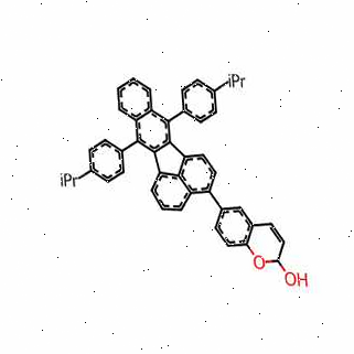 CC(C)c1ccc(-c2c3c(c(-c4ccc(C(C)C)cc4)c4ccccc24)-c2ccc(-c4ccc5c(c4)C=CC(O)O5)c4cccc-3c24)cc1